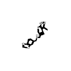 Cc1n[nH]c2ncc(CNCc3ccc4c(c3)OCO4)cc12